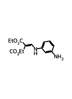 CCOC(=O)C(=CNc1cccc(N)c1)C(=O)OCC